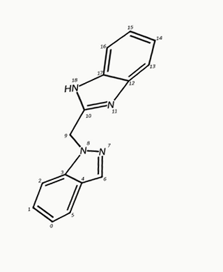 c1ccc2c(c1)cnn2Cc1nc2ccccc2[nH]1